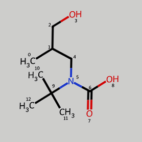 CC(CO)CN(C(=O)O)C(C)(C)C